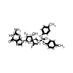 Cc1ccc(OP(=O)(OC[C@@]2(C(F)F)O[C@@H](n3cnc4c(=O)[nH]c(N)nc43)[C@H](F)[C@@H]2O)Oc2ccc(C)cc2)cc1